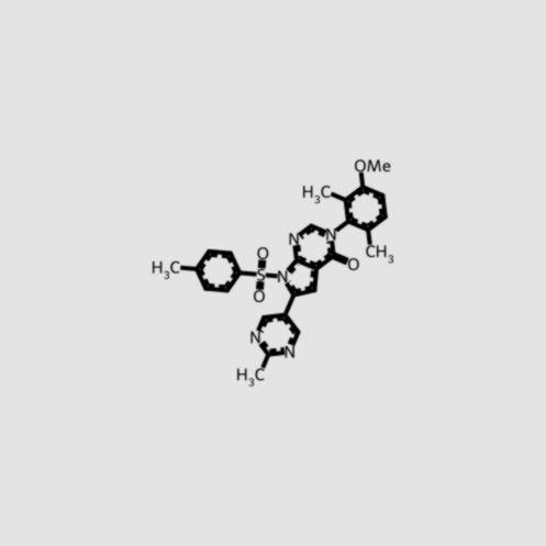 COc1ccc(C)c(-n2cnc3c(cc(-c4cnc(C)nc4)n3S(=O)(=O)c3ccc(C)cc3)c2=O)c1C